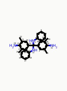 Cc1cc(C(Nc2ccccc2)(Nc2ccccc2)c2cc(C)c(N)c(C)c2)cc(C)c1N